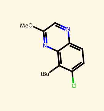 COc1cnc2ccc(Cl)c(C(C)(C)C)c2n1